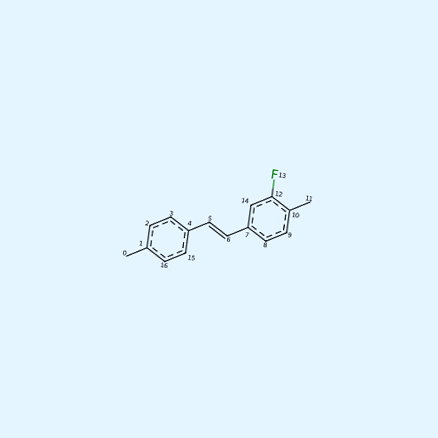 Cc1ccc(/C=C/c2ccc(C)c(F)c2)cc1